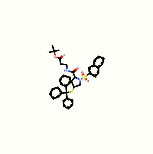 CC(C)(C)OC(=O)CCNC(=O)C1CC(SC(c2ccccc2)(c2ccccc2)c2ccccc2)CN1S(=O)(=O)c1ccc2ccccc2c1